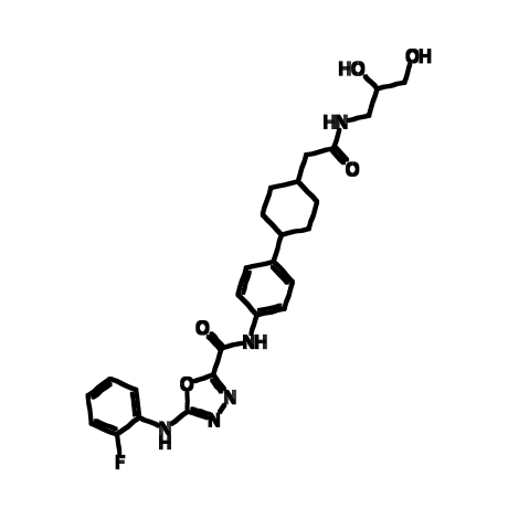 O=C(CC1CCC(c2ccc(NC(=O)c3nnc(Nc4ccccc4F)o3)cc2)CC1)NCC(O)CO